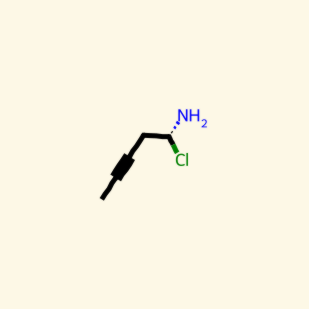 CC#CC[C@H](N)Cl